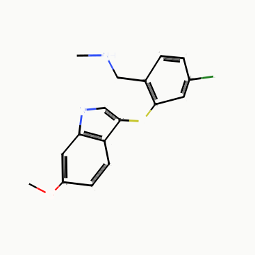 CNCc1ccc(Cl)cc1Sc1c[nH]c2cc(OC)ccc12